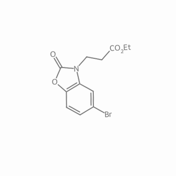 CCOC(=O)CCn1c(=O)oc2ccc(Br)cc21